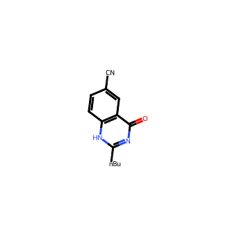 CCCCc1nc(=O)c2cc(C#N)ccc2[nH]1